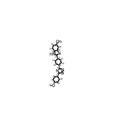 COc1ccc(-c2nc(-c3ccc(-c4nc5cc(OC)ccc5[nH]4)cc3)no2)cc1